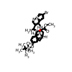 COC(=O)CN1[C@@H]2CC[C@H]1CC(Nc1c(C(N)=Nc3ccc(O[Si](C)(C)C(C)(C)C)cc3Cl)cnn3cc(Br)cc13)C2